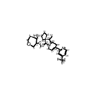 COC1COCCC1N[C@@H]1CC[C@@](C(=O)N2CC=C(c3cc(C(F)(F)F)ccn3)CC2)(C(C)C)C1